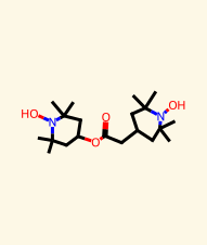 CC1(C)CC(CC(=O)OC2CC(C)(C)N(O)C(C)(C)C2)CC(C)(C)N1O